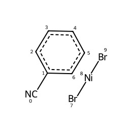 N#Cc1ccccc1.[Br][Ni][Br]